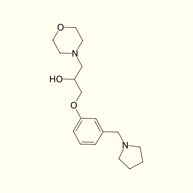 OC(COc1cccc(CN2CCCC2)c1)CN1CCOCC1